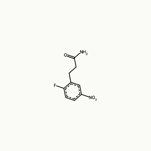 NC(=O)CCc1cc([N+](=O)[O-])ccc1F